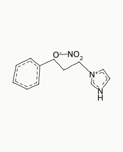 O=[N+]([O-])[O-].c1ccc(CCC[n+]2cc[nH]c2)cc1